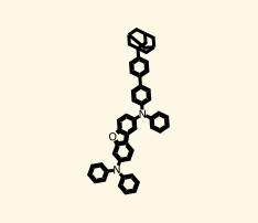 c1ccc(N(c2ccccc2)c2ccc3c(c2)oc2ccc(N(c4ccccc4)c4ccc(-c5ccc(C67CC8CC(CC(C8)C6)C7)cc5)cc4)cc23)cc1